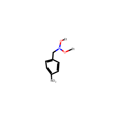 CCON(Cc1ccc([N+](=O)[O-])cc1)OCC